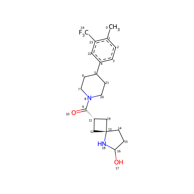 Cc1ccc(C2CCN(C(=O)[C@H]3C[C@]4(CCC(O)N4)C3)CC2)cc1C(F)(F)F